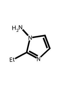 CCc1nccn1N